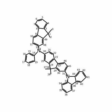 CC1(C)c2ccccc2-c2ccc(N(c3ccccc3)c3ccc4c(c3)C(C)(C)c3cc(-n5c6ccccc6c6ccccc65)ccc3-4)cc21